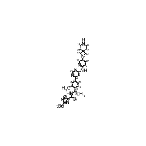 Cc1cc(-c2cc(Nc3ccc(N4CC5(CCNCC5)C4)cn3)ncn2)ccc1[C@@H](C)NC(=O)c1nc(C(C)(C)C)no1